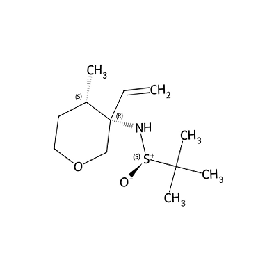 C=C[C@@]1(N[S@+]([O-])C(C)(C)C)COCC[C@@H]1C